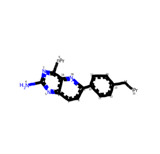 CCCc1nc(N)nc2ccc(-c3ccc(CC(C)C)cc3)nc12